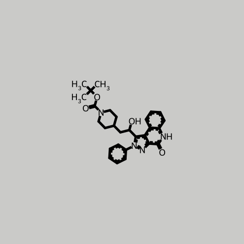 CC(C)(C)OC(=O)N1CCC(CC(O)c2c3c(nn2-c2ccccc2)c(=O)[nH]c2ccccc23)CC1